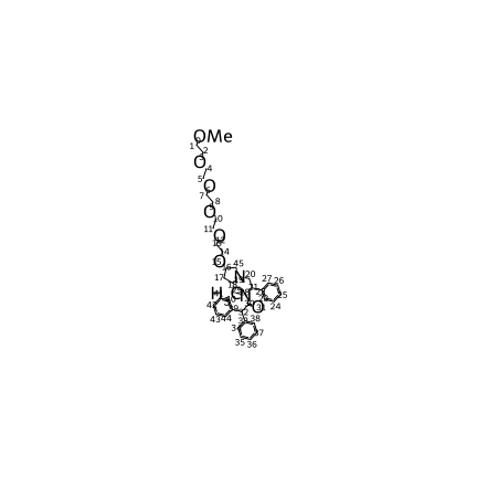 COCCOCCOCCOCCOCCOC1CCN(CC(c2ccccc2)N(C)C(=O)C(c2ccccc2)c2ccccc2)C1